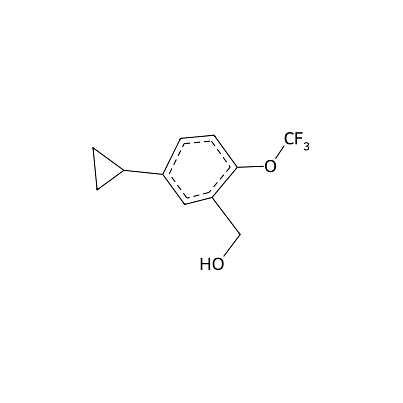 OCc1cc(C2CC2)ccc1OC(F)(F)F